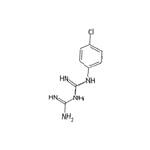 N=C(N)NC(=N)Nc1ccc(Cl)cc1